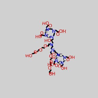 O=C(O)CN1CCN(CC(=O)O)CCN(CC(O)CN(CCOCCOCCOCCO)CCN(CCOCCOCCOCCO)CC(O)CN2CCN(CC(=O)O)CCN(CC(=O)O)CCN(CC(=O)O)CC2)CCN(CC(=O)O)CC1